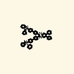 c1ccc(-c2cc3nc(-c4ccc(-c5ccc(-c6nc7ccccc7n6-c6ccccc6)cc5)cc4)c(-c4ccc(-c5ccc(-c6nc7ccccc7n6-c6ccccc6)cc5)cc4)nc3cc2-c2ccccc2)cc1